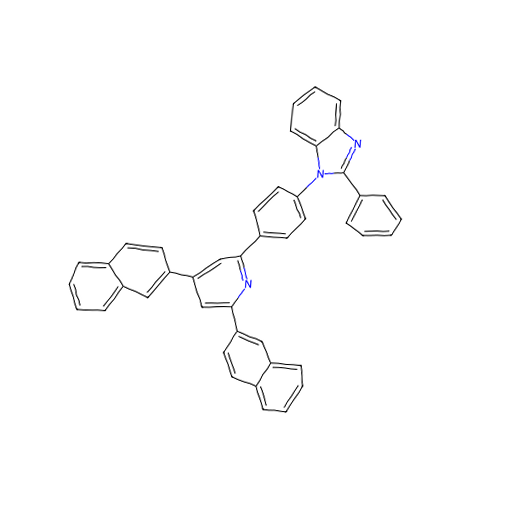 c1ccc(-c2nc3ccccc3n2-c2ccc(-c3cc(-c4ccc5ccccc5c4)cc(-c4ccc5ccccc5c4)n3)cc2)cc1